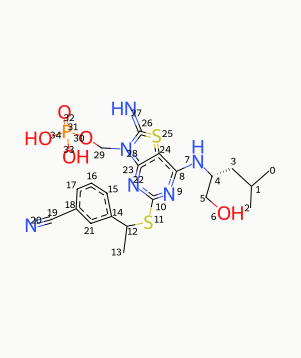 CC(C)C[C@H](CO)Nc1nc(SC(C)c2cccc(C#N)c2)nc2c1sc(=N)n2COP(=O)(O)O